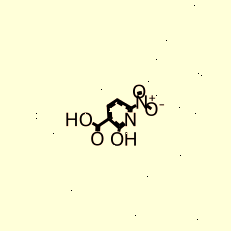 O=C(O)c1ccc([N+](=O)[O-])nc1O